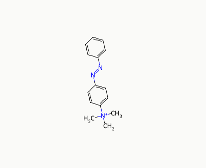 C[N+](C)(C)c1ccc(N=Nc2ccccc2)cc1